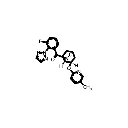 Cc1ccc(O[C@@H]2CC3CC[C@@H]2N(C(=O)c2cccc(F)c2-n2nccn2)C3)nc1